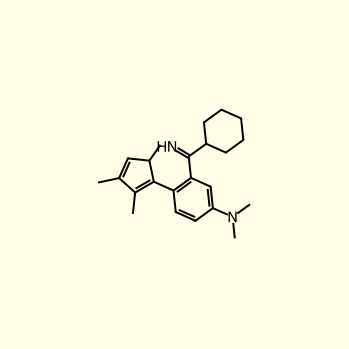 CC1=CC(C)C(c2ccc(N(C)C)cc2C(=N)C2CCCCC2)=C1C